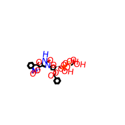 O=C(O)CP(=O)(O)OP(=O)(O)OC[C@H]1O[C@@H](N2C=C3C=C(c4ccccc4[N+](=O)[O-])OC3NC2=O)CC1OC(=O)c1ccccc1